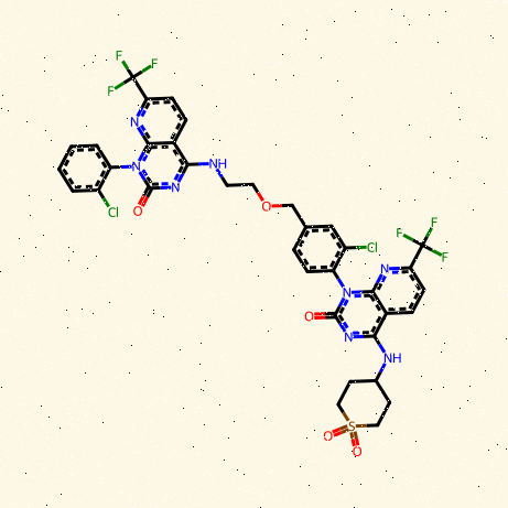 O=c1nc(NCCOCc2ccc(-n3c(=O)nc(NC4CCS(=O)(=O)CC4)c4ccc(C(F)(F)F)nc43)c(Cl)c2)c2ccc(C(F)(F)F)nc2n1-c1ccccc1Cl